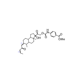 C/C=C\C(=O)/C=C1/CCC2C(CCC3(C)C2CC[C@]3(O)C(=O)COC(=O)Nc2ccc(C(=O)OC)cc2)C1C